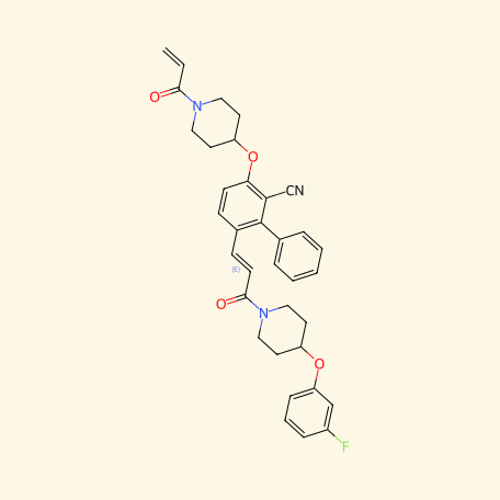 C=CC(=O)N1CCC(Oc2ccc(/C=C/C(=O)N3CCC(Oc4cccc(F)c4)CC3)c(-c3ccccc3)c2C#N)CC1